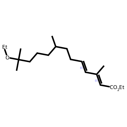 CCOC(=O)/C=C(C)/C=C/CCC(C)CCCC(C)(C)OCC